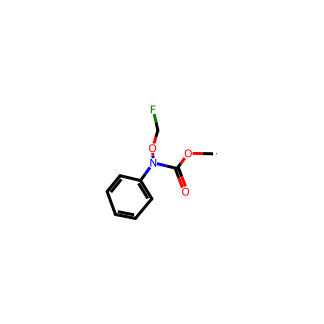 [CH2]OC(=O)N(OCF)c1ccccc1